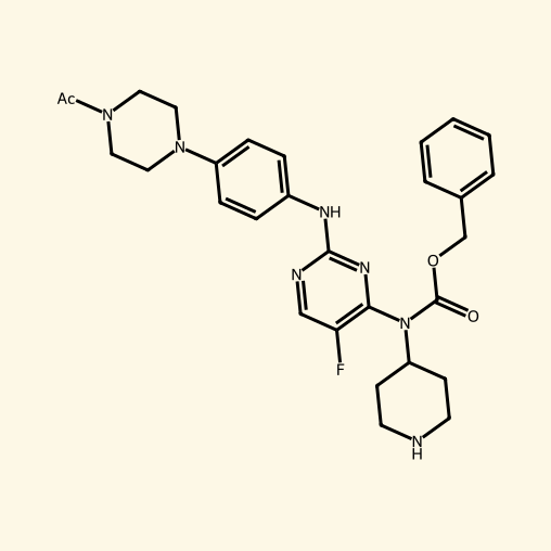 CC(=O)N1CCN(c2ccc(Nc3ncc(F)c(N(C(=O)OCc4ccccc4)C4CCNCC4)n3)cc2)CC1